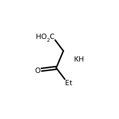 CCC(=O)CC(=O)O.[KH]